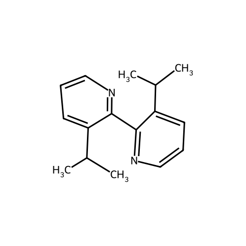 CC(C)c1cccnc1-c1ncccc1C(C)C